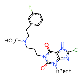 CCCCCn1c(=O)n(CCCN(CCc2cccc(F)c2)C(=O)O)c(=O)c2[nH]c(Cl)nc21